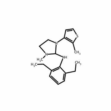 CCc1cccc(CC)c1NC1N(C)CCN1c1ccsc1C